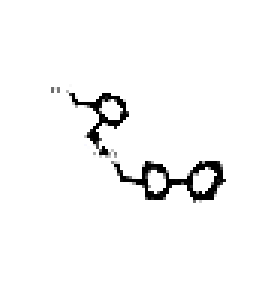 CCc1ccccc1/[C]=N\OCc1ccc(-c2ccccc2)cc1